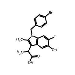 Cc1c(C(C)C(=O)O)c2cc(O)c(F)cc2n1Cc1ccc(Br)cc1